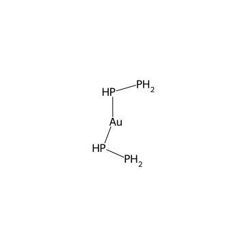 P[PH][Au][PH]P